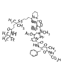 CC[C@H](C)[C@H](NC(=O)[C@H]1CCCCN1C(=O)CCCSSC(C)(C)CCC(=O)NC(C)(C)CC)C(=O)N(C)[C@H](C[C@@H](OC(C)=O)c1nc(C(=O)N[C@@H](Cc2ccccc2)C2OC2(C)C(=O)NCC(=O)O)cs1)C(C)C